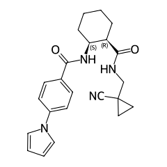 N#CC1(CNC(=O)[C@@H]2CCCC[C@@H]2NC(=O)c2ccc(-n3cccc3)cc2)CC1